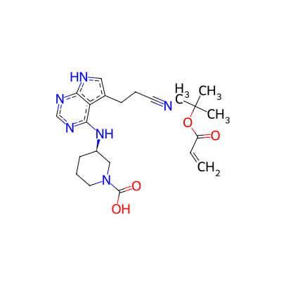 C=CC(=O)OC(C)(C)C.N#CCCc1c[nH]c2ncnc(N[C@@H]3CCCN(C(=O)O)C3)c12